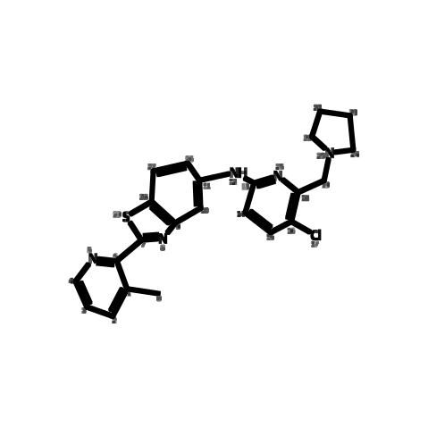 Cc1cccnc1-c1nc2cc(Nc3ccc(Cl)c(CN4CCCC4)n3)ccc2s1